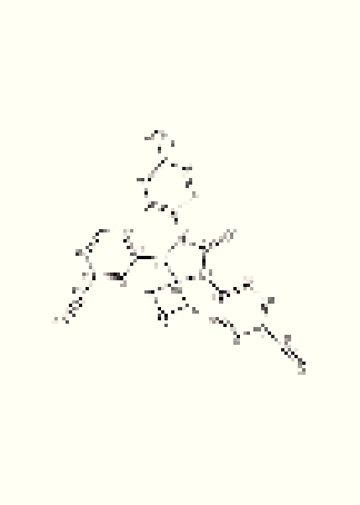 Cc1ccc(N2C(=O)N(c3ccc(C#N)cc3)C3(COC3)[C@H]2c2cccc(C#N)c2)cc1